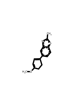 COC1=CC=C(c2ccc3sc(C)nc3c2)CC1